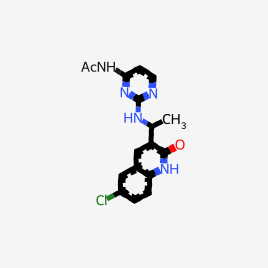 CC(=O)Nc1ccnc(NC(C)c2cc3cc(Cl)ccc3[nH]c2=O)n1